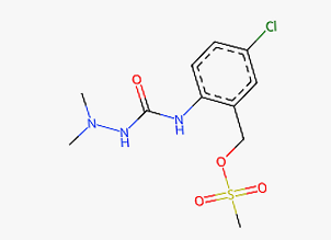 CN(C)NC(=O)Nc1ccc(Cl)cc1COS(C)(=O)=O